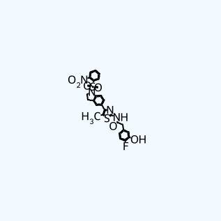 Cc1sc(NC(=O)Cc2ccc(F)c(O)c2)nc1-c1ccc2c(c1)CCN2S(=O)(=O)c1ccccc1[N+](=O)[O-]